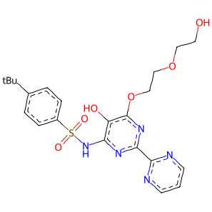 CC(C)(C)c1ccc(S(=O)(=O)Nc2nc(-c3ncccn3)nc(OCCOCCO)c2O)cc1